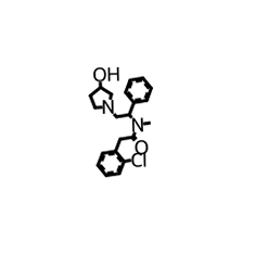 CN(C(=O)Cc1ccccc1Cl)C(CN1CCC(O)C1)c1ccccc1